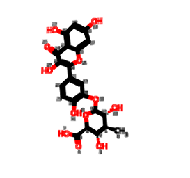 C[C@H]1[C@H](O)[C@@H](C(=O)O)OC(Oc2cc(-c3oc4cc(O)cc(O)c4c(=O)c3O)ccc2O)[C@@H]1O